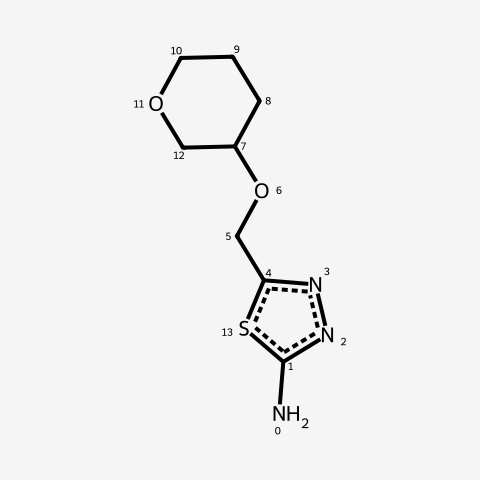 Nc1nnc(COC2CCCOC2)s1